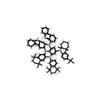 CC(C)(C)c1ccc2c(c1)C1(C)CCCCC1(C)N2c1cc2c3c(c1)N(c1cccc4c1sc1ccccc14)c1cc4sc5ccccc5c4cc1B3c1cc3c(cc1N2c1ccc2c(c1)C(C)(C)CCC2(C)C)C(C)(C)CCC3(C)C